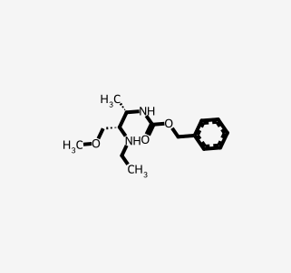 CCN[C@H](COC)[C@H](C)NC(=O)OCc1ccccc1